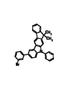 CC1(C)c2ccccc2-c2cc3c4cc(-c5cccc(Br)c5)ccc4n(-c4ccccc4)c3cc21